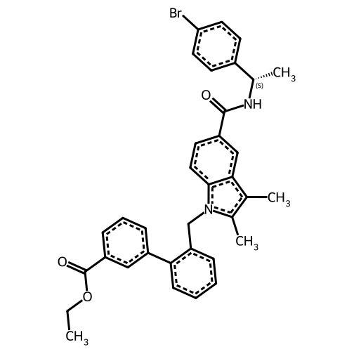 CCOC(=O)c1cccc(-c2ccccc2Cn2c(C)c(C)c3cc(C(=O)N[C@@H](C)c4ccc(Br)cc4)ccc32)c1